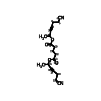 CC(C#CCCC#N)OC(=O)CCCC(=O)OC(C)C#CCCC#N